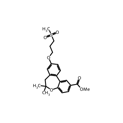 COC(=O)c1ccc2c(c1)-c1ccc(OCCCS(C)(=O)=O)cc1CC(C)(C)O2